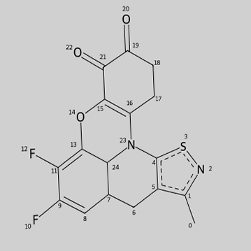 Cc1nsc2c1CC1C=C(F)C(F)=C3OC4=C(CCC(=O)C4=O)N2C31